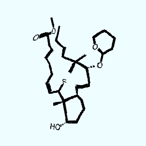 CCCCC(C)(C)[C@@H](/C=C/[C@H]1CC[C@H](O)[C@]1(C)C(F)/C=C\CCCC(=O)OC)OC1CCCCO1